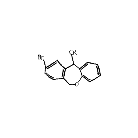 N#CC1c2cc(Br)ccc2COc2ccccc21